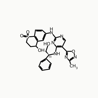 Cc1noc(-c2cnc(Nc3ccc4c(c3)C(O)CCS4(=O)=O)nc2N[C@H](CO)c2ccccc2)n1